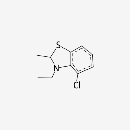 CCN1c2c(Cl)cccc2SC1C